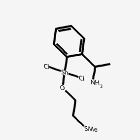 CSCC[O][Sn]([Cl])([Cl])[c]1ccccc1C(C)N